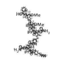 CC[C@H](C)[C@@H]([C@@H](CC(=O)N1CCC([C@H](OC)[C@@H](C)C(=O)N[C@H](C)[C@@H](O)c2ccccc2)C1)OC)N(C)C(=O)[C@@H](NC(=O)[C@H](COC(N)=O)C(C)CCc1ccc(NC(=O)[C@H](CCCNC(N)=O)NC(=O)[C@@H](NC(=O)c2ccc(CN=[N+]=[N-])cc2)C(C)C)cc1)C(C)C